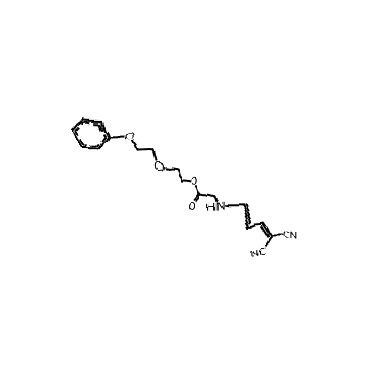 N#CC(C#N)=C/C=C/NCC(=O)OCCOCCOc1ccccc1